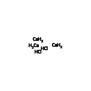 Cl.Cl.[CaH2].[CaH2].[CaH2]